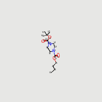 CCCCOC(=O)N1CCN(C(=O)OC(C)(C)C)CC1